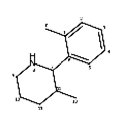 Cc1ccccc1C1NCCCC1C